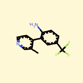 Cc1cnccc1-c1cc(C(F)(F)F)ccc1N